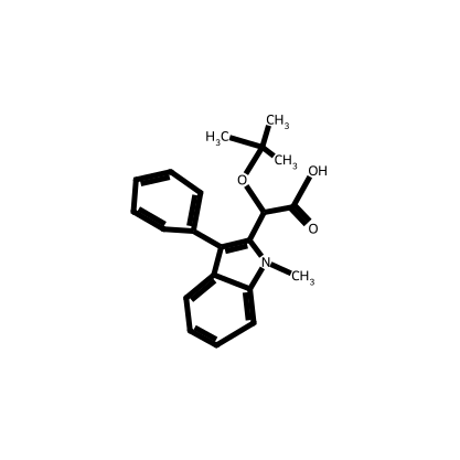 Cn1c(C(OC(C)(C)C)C(=O)O)c(-c2ccccc2)c2ccccc21